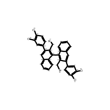 Clc1ccc(-c2cc3ccccc3c(-c3c(CBr)c(-c4ccc(Cl)c(Cl)c4)cc4ccccc34)c2CBr)cc1Cl